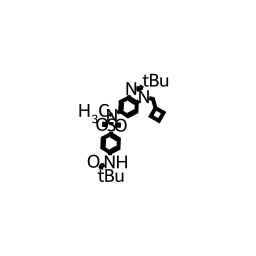 CN(c1ccc2c(c1)nc(C(C)(C)C)n2CC1CCC1)S(=O)(=O)c1ccc(NC(=O)C(C)(C)C)cc1